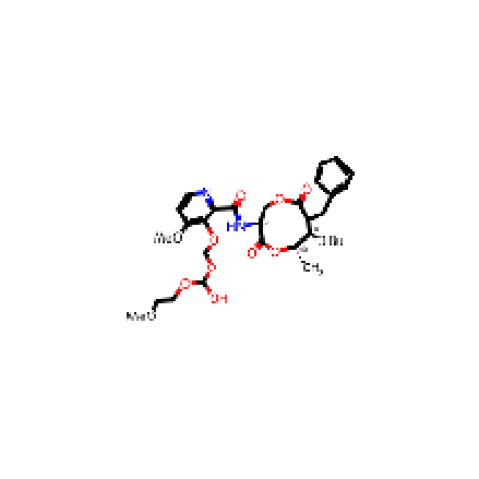 COCCOC(O)OCOc1c(OC)ccnc1C(=O)N[C@H]1COC(=O)C(Cc2ccccc2)[C@@H](OCC(C)C)[C@H](C)OC1=O